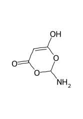 NC1OC(=O)C=C(O)O1